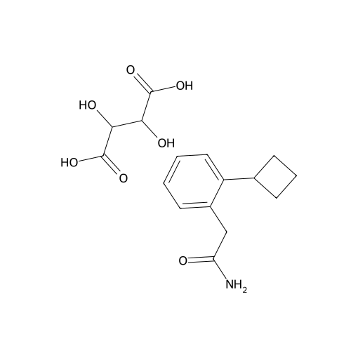 NC(=O)Cc1ccccc1C1CCC1.O=C(O)C(O)C(O)C(=O)O